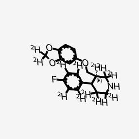 [2H]c1c([2H])c(C2C([2H])([2H])C([2H])([2H])NC([2H])([2H])[C@]2([2H])COc2ccc3c(c2)OC([2H])([2H])O3)c([2H])c([2H])c1F